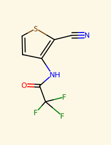 N#Cc1sccc1NC(=O)C(F)(F)F